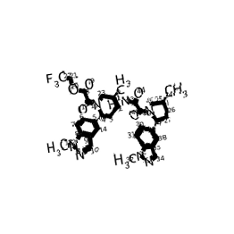 C[C@H]1CC[C@H](c2ccc3c(cnn3C)c2)N(C(=O)C(=O)OCC(F)(F)F)C1.C[C@H]1CC[C@H](c2ccc3c(cnn3C)c2)N(C(=O)C(N)=O)C1